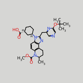 COC(=O)N1c2ccc3c(nc(Cc4cncc(OC(C)(C)C)n4)n3[C@@H]3CCC[C@@H](C(=O)O)C3)c2CCC1C